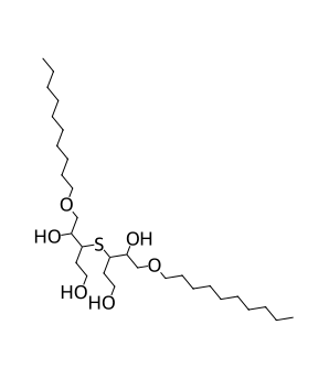 CCCCCCCCCCOCC(O)C(CCO)SC(CCO)C(O)COCCCCCCCCCC